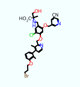 Cc1c(OCCCBr)cccc1-c1ccnc(COc2cc(OCc3cncc(C#N)c3)c(CN[C@@](C)(CO)C(=O)O)cc2Cl)c1C